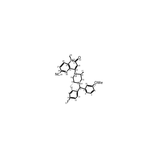 COc1cccc(C(c2ccc(F)cc2)N2C[C@H](C)N(c3cc(=O)n(C)c4ccc(C#N)nc34)C[C@H]2C)c1